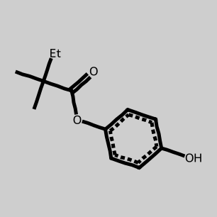 CCC(C)(C)C(=O)Oc1ccc(O)cc1